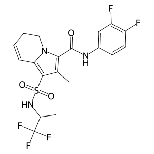 Cc1c(S(=O)(=O)NC(C)C(F)(F)F)c2n(c1C(=O)Nc1ccc(F)c(F)c1)CCC=C2